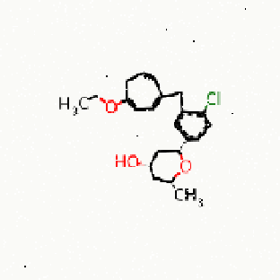 CCOC1=CC=C(Cc2cc([C@H]3C[C@@H](O)C[C@@H](C)O3)ccc2Cl)C=CC1